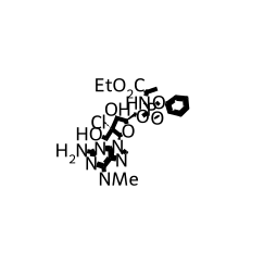 CCOC(=O)C(C)N[P@@](=O)(OC[C@H]1O[C@@H](n2cnc3c(NC)nc(N)nc32)[C@@](Cl)(CO)[C@@H]1O)Oc1ccccc1